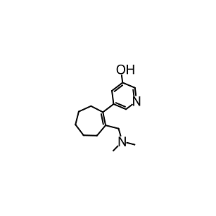 CN(C)CC1=C(c2cncc(O)c2)CCCCC1